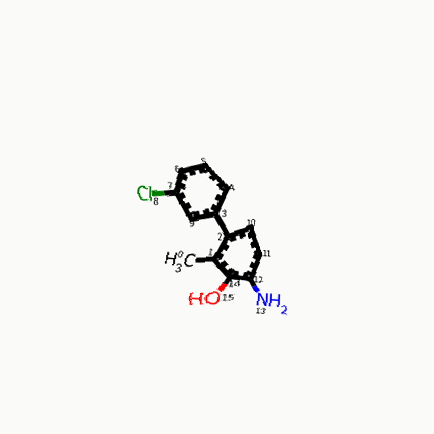 Cc1c(-c2cccc(Cl)c2)ccc(N)c1O